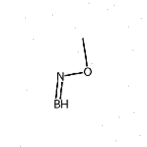 B=NOC